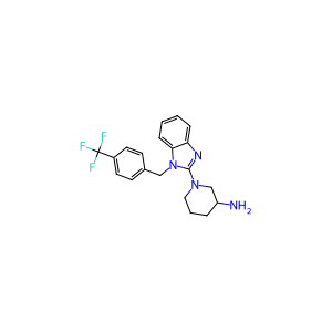 NC1CCCN(c2nc3ccccc3n2Cc2ccc(C(F)(F)F)cc2)C1